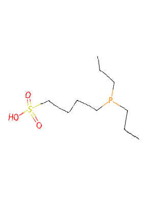 CCCP(CCC)CCCCS(=O)(=O)O